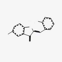 Cc1ccc2c(c1)C(=O)/C(=C/c1ccccc1C(=O)O)O2